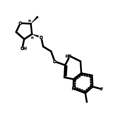 Cc1nc2c(cc1F)CNC(OCCO[C@@H]1C(O)CO[C@@H]1C)=C2